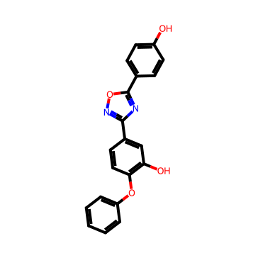 Oc1ccc(-c2nc(-c3ccc(Oc4ccccc4)c(O)c3)no2)cc1